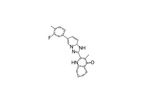 Cc1ccc(C2=CN3N=C(c4[nH]c5ccccc5c(=O)c4C)NC3C=C2)cc1F